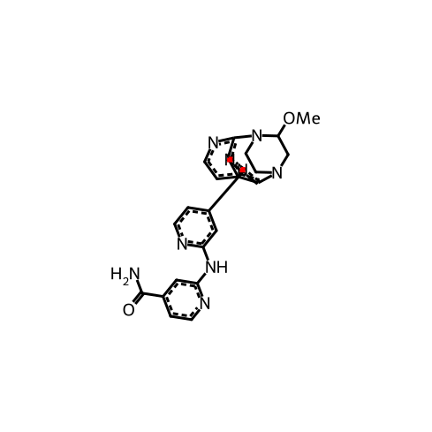 COC1CN2CCN1c1nccc3c2nc(-c2ccnc(Nc4cc(C(N)=O)ccn4)c2)nc13